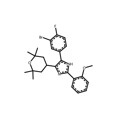 COc1ccccc1-c1nc(C2CC(C)(C)OC(C)(C)C2)c(-c2ccc(F)c(Br)c2)[nH]1